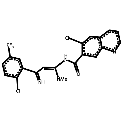 CN/C(=C\C(=N)c1cc(C(F)(F)F)ccc1Cl)NC(=O)c1cc2ncccc2cc1Cl